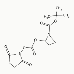 CC(C)(C)OC(=O)N1CCC1OC(=O)ON1C(=O)CCC1=O